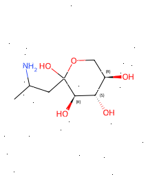 CC(N)CC1(O)OC[C@@H](O)[C@H](O)[C@H]1O